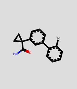 [3H]c1ccccc1-c1cccc(C2(C([NH])=O)CC2)c1